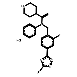 Cl.O=C(C1CCNCC1)N(Cc1ccc(-c2nnc(C(F)(F)F)o2)cc1F)c1ccccc1